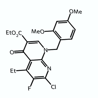 CCOC(=O)c1cn(Cc2ccc(OC)cc2OC)c2nc(Cl)c(F)c(CC)c2c1=O